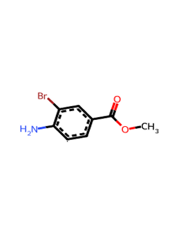 COC(=O)c1c[c]c(N)c(Br)c1